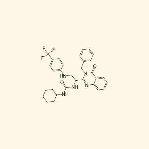 O=C(NC1CCCCC1)NC(CNc1ccc(C(F)(F)F)cc1)c1nc2ccccc2c(=O)n1Cc1ccccc1